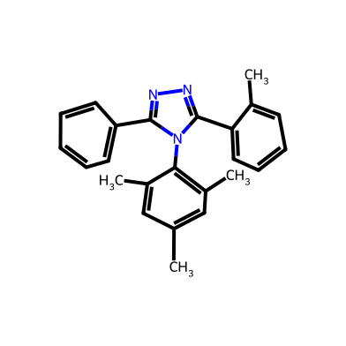 Cc1cc(C)c(-n2c(-c3ccccc3)nnc2-c2ccccc2C)c(C)c1